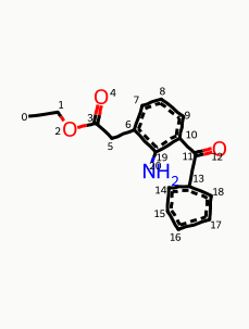 CCOC(=O)Cc1cccc(C(=O)c2ccccc2)c1N